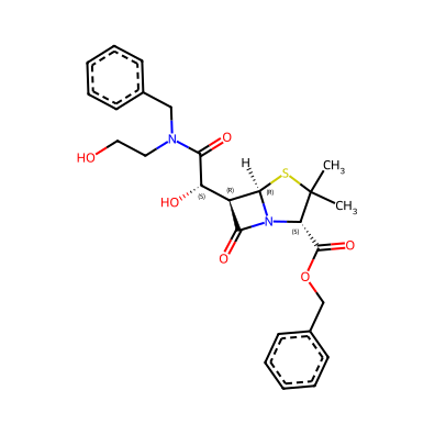 CC1(C)S[C@@H]2[C@H]([C@H](O)C(=O)N(CCO)Cc3ccccc3)C(=O)N2[C@H]1C(=O)OCc1ccccc1